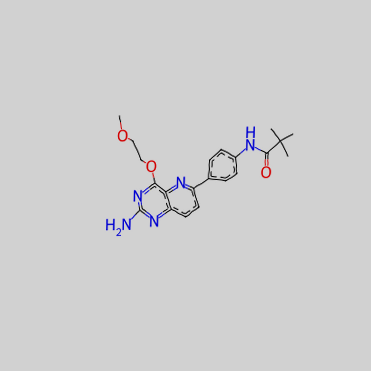 COCCOc1nc(N)nc2ccc(-c3ccc(NC(=O)C(C)(C)C)cc3)nc12